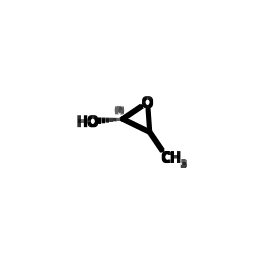 CC1O[C@H]1O